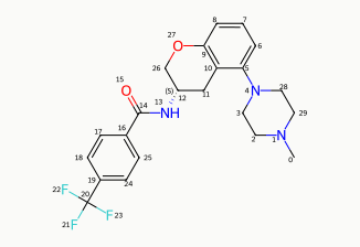 CN1CCN(c2cccc3c2C[C@H](NC(=O)c2ccc(C(F)(F)F)cc2)CO3)CC1